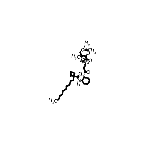 CCCCCCCCCCC1(C(=O)N[C@H]2CCCC[C@@H]2OC(=O)CCNC(=O)C2OC(C)(C)OCC2(C)C)CCC1